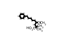 C=C=C(CCCCCc1ccccc1)CC(C)(C)C(=O)O